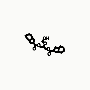 O=C(OCC(COC(=O)C1CC2CCCCC2C1)OCO)C1CC2CCCCC2C1